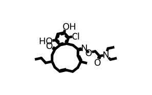 CCCC1C/C=C/CC/C(C)=C/C(=N\OCC(=O)N(CC)CC)Cc2c(Cl)c(O)cc(O)c2C(=O)C1